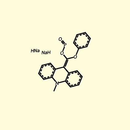 CN1c2ccccc2C(=C(OP=O)Oc2ccccc2)c2ccccc21.[NaH].[NaH]